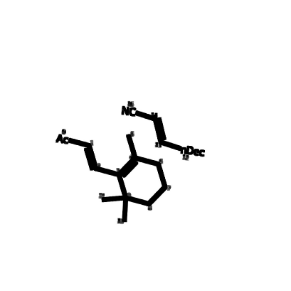 CC(=O)C=CC1=C(C)CCCC1(C)C.CCCCCCCCCCC=CC#N